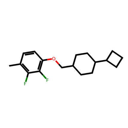 Cc1ccc(OCC2CCC(C3CCC3)CC2)c(F)c1F